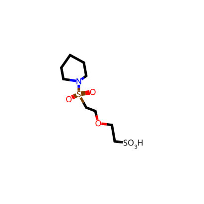 O=S(=O)(O)CCOCCS(=O)(=O)N1CCCCC1